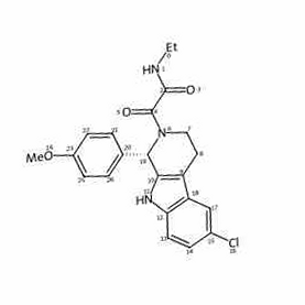 CCNC(=O)C(=O)N1CCc2c([nH]c3ccc(Cl)cc23)[C@@H]1c1ccc(OC)cc1